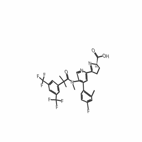 Cc1cc(F)ccc1-c1cc(C2=N[C@@H](C(=O)O)CC2)ncc1N(C)C(=O)C(C)(C)c1cc(C(F)(F)F)cc(C(F)(F)F)c1